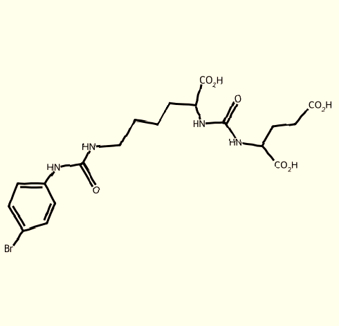 O=C(O)CCC(NC(=O)NC(CCCCNC(=O)Nc1ccc(Br)cc1)C(=O)O)C(=O)O